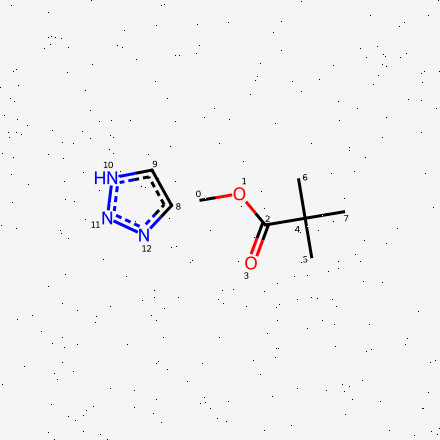 COC(=O)C(C)(C)C.c1c[nH]nn1